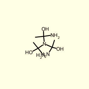 CC(N)(O)N(C(C)(N)O)C(C)(N)O